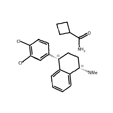 CN[C@H]1CC[C@@H](c2ccc(Cl)c(Cl)c2)c2ccccc21.NC(=O)C1CCC1